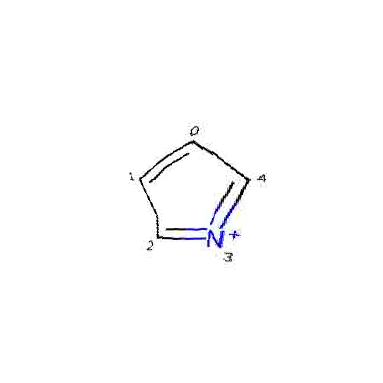 C1=CC=[N+]=C1